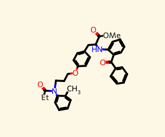 CCC(=O)N(CCCOc1ccc(CC(Nc2ccccc2C(=O)c2ccccc2)C(=O)OC)cc1)c1ccccc1C